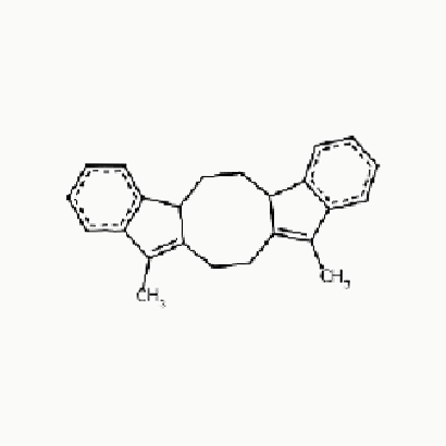 CC1=C2CCC3=C(C)c4ccccc4C3CCC2c2ccccc21